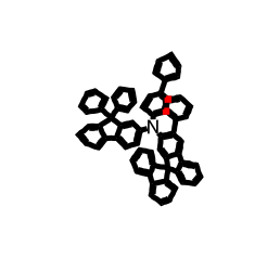 c1ccc(-c2ccc(N(c3ccc4c(c3)C(c3ccccc3)(c3ccccc3)c3ccccc3-4)c3cc4c(cc3-c3ccccc3)-c3ccccc3C43c4ccccc4-c4ccccc43)cc2)cc1